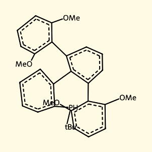 COc1cccc(OC)c1-c1cccc(-c2c(OC)cccc2OC)c1-c1ccccc1PC(C)(C)C